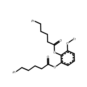 CCOc1cccc(OC(=O)CCCCC(C)C)c1OC(=O)CCCCC(C)C